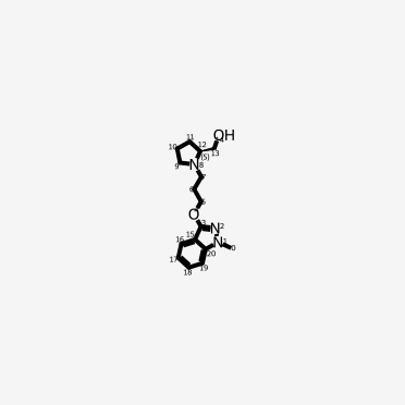 Cn1nc(OCCCN2CCC[C@H]2CO)c2ccccc21